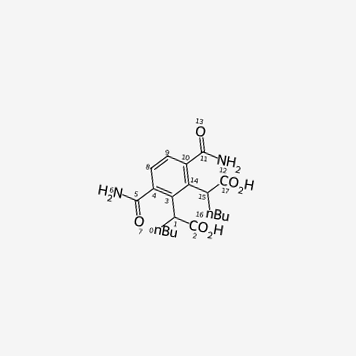 CCCCC(C(=O)O)c1c(C(N)=O)ccc(C(N)=O)c1C(CCCC)C(=O)O